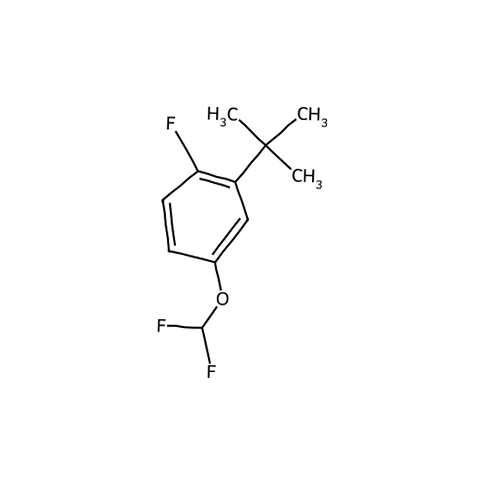 CC(C)(C)c1cc(OC(F)F)ccc1F